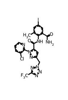 Cc1cc(I)cc(C(N)=O)c1NC(=O)c1cc(Cn2nnc(C(F)(F)F)n2)nn1-c1ncccc1Cl